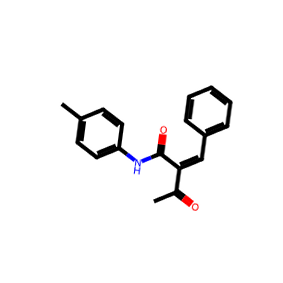 CC(=O)C(=Cc1ccccc1)C(=O)Nc1ccc(C)cc1